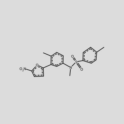 Cc1ccc(S(=O)(=O)N(C)c2ccc(C)c(-c3ccc([N+](=O)[O-])o3)c2)cc1